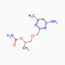 Cc1cc(N)nc(COCC(C)OC(N)=O)n1